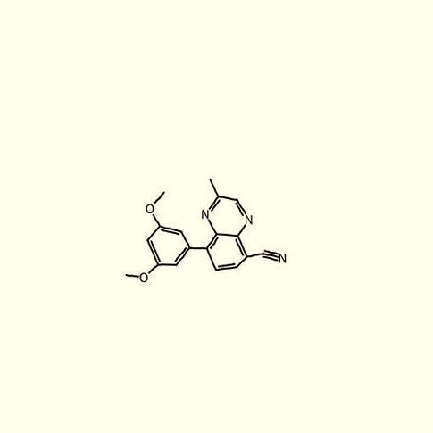 COc1cc(OC)cc(-c2ccc(C#N)c3ncc(C)nc23)c1